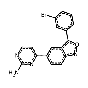 Nc1nccc(-c2ccc3noc(-c4cccc(Br)c4)c3c2)n1